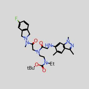 CCN(CCN(CC(=O)N(C)N1Cc2ccc(F)cc2C1)C(=O)CNc1cc2c(cc1C)c(C)nn2C)C(=O)OC(C)(C)C